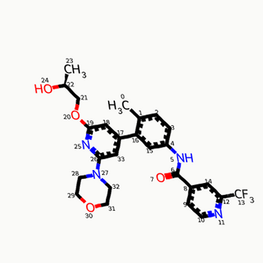 Cc1ccc(NC(=O)c2ccnc(C(F)(F)F)c2)cc1-c1cc(OC[C@H](C)O)nc(N2CCOCC2)c1